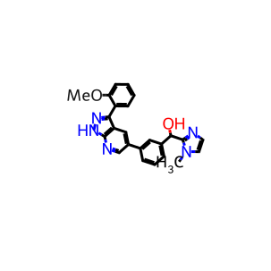 COc1ccccc1-c1n[nH]c2ncc(-c3cccc(C(O)c4nccn4C)c3)cc12